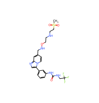 CS(=O)(=O)CCNCCONCc1ccn2c(-c3cccc(NC(=O)NCC(F)(F)F)c3)cnc2c1